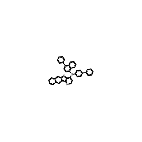 c1ccc(-c2ccc(N(c3ccc(-c4ccccc4)c4ccccc34)c3ccnc4c3sc3cc5ccccc5cc34)cc2)cc1